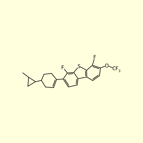 CC1CC1C1CC=C(c2ccc3c(sc4c(F)c(OC(F)(F)F)ccc43)c2F)CC1